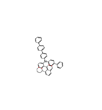 c1ccc(-c2ccc(-c3ccc(N(c4ccc(-c5ccccc5)cc4)c4ccccc4-c4cccc5cccc(C6CCCCC6)c45)cc3)cc2)cc1